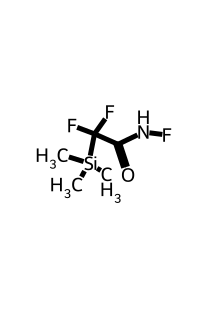 C[Si](C)(C)C(F)(F)C(=O)NF